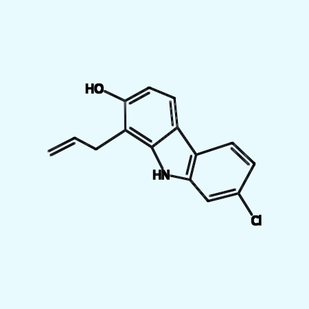 C=CCc1c(O)ccc2c1[nH]c1cc(Cl)ccc12